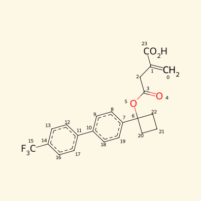 C=C(CC(=O)OC1(c2ccc(-c3ccc(C(F)(F)F)cc3)cc2)CCC1)C(=O)O